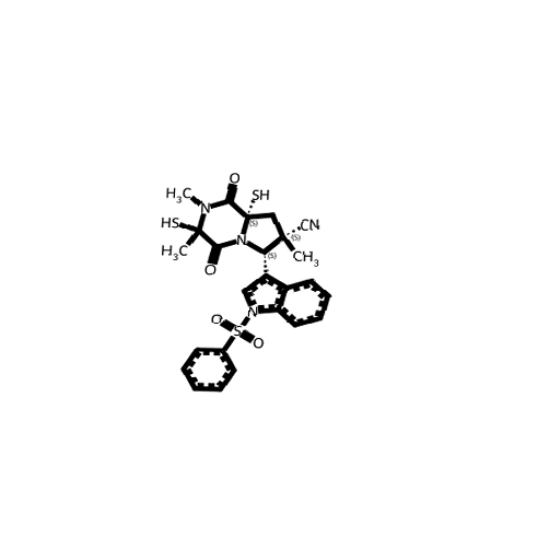 CN1C(=O)[C@@]2(S)C[C@](C)(C#N)[C@H](c3cn(S(=O)(=O)c4ccccc4)c4ccccc34)N2C(=O)C1(C)S